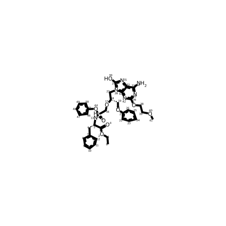 CCOC(=O)[C@H](Cc1ccccc1)NP(=O)(CO[C@@H](COc1ccccc1)Cn1c(O)nc2c(N)nc(OCCOC)nc21)Oc1ccccc1